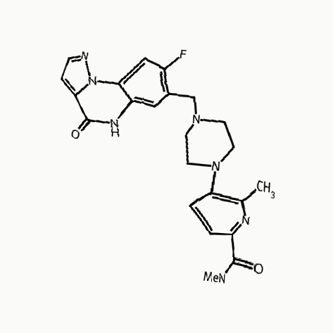 CNC(=O)c1ccc(N2CCN(Cc3cc4[nH]c(=O)c5ccnn5c4cc3F)CC2)c(C)n1